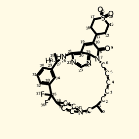 CC1CCCCCn2c(=O)c(C3CCS(=O)(=O)CC3)cc3c(ncnc32)N[C@H](C)c2cccc(c2)C(F)(F)C2CCN(CC2)C1